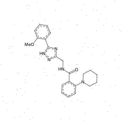 COc1ccccc1-c1nc(CNC(=O)c2ccccc2N2CCCCC2)n[nH]1